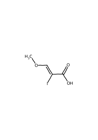 CO/C=C(\I)C(=O)O